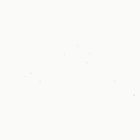 Nc1ncnn2c(C3CCN(C(=O)CO)CC3)cc(-c3ccc(NC(=O)Nc4cc(C(F)(F)F)ccc4F)cc3)c12